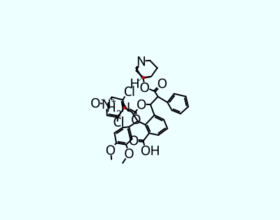 COc1ccc(C(Cc2c(Cl)c[n+]([O-])cc2Cl)c2c(C(=O)O)cccc2C(OC(N)=O)C(C(=O)O[C@H]2CN3CCC2CC3)c2ccccc2)cc1OC